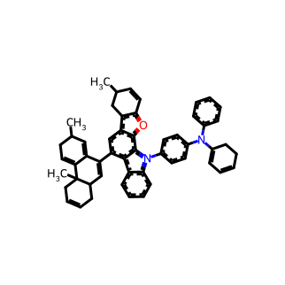 CC1C=C2C(c3cc4c5c(oc4c4c3c3ccccc3n4-c3ccc(N(C4=CC=CCC4)c4ccccc4)cc3)C=CC(C)C5)=CC3CC=CCC3(C)C2=CC1